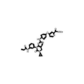 C=CC(=O)Nc1cccc(N2C(=O)N(C3CC3)Cc3cnc(Nc4ccc(Oc5ccnc(C(=O)NC)c5)cc4)nc32)c1